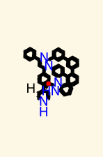 CCC1Nc2ccccc2N1c1ccccc1-c1ccccc1-c1cccc(-c2cccc(-c3nc(-c4ccccc4)cc(-c4ccc(C5=CCNC=C5)cc4)n3)c2)c1